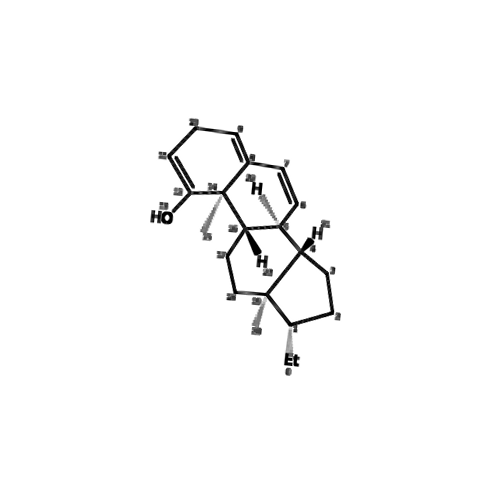 CC[C@H]1CC[C@H]2[C@@H]3C=CC4=CCC=C(O)[C@]4(C)[C@H]3CC[C@]12C